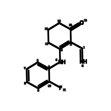 N=CC1=C(Nc2ccccc2F)CCCC1=O